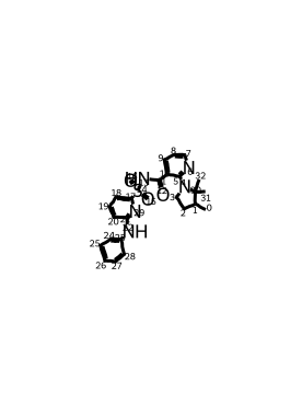 CC1CCN(c2ncccc2C(=O)NS(=O)(=O)c2cccc(Nc3ccccc3)n2)C1(C)C